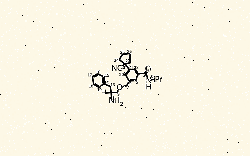 CC(C)NC(=O)c1cc(COCC(C)(N)Cc2ccccc2)cc(C2(C#N)CCCC2)c1